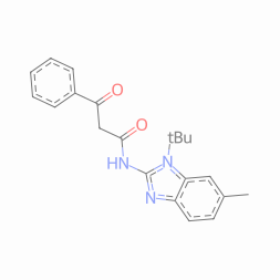 Cc1ccc2nc(NC(=O)CC(=O)c3ccccc3)n(C(C)(C)C)c2c1